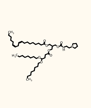 CCCCC/C=C\C/C=C\CCCCCCCC(=O)OCC(COC(=O)CCC(OCCCCCCCC)OCCCCCCCC)COC(=O)NCCN1CCCC1